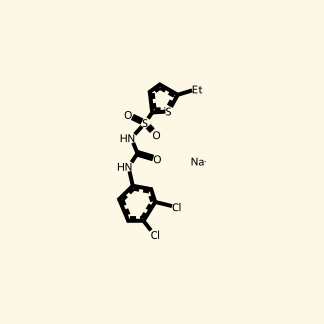 CCc1ccc(S(=O)(=O)NC(=O)Nc2ccc(Cl)c(Cl)c2)s1.[Na]